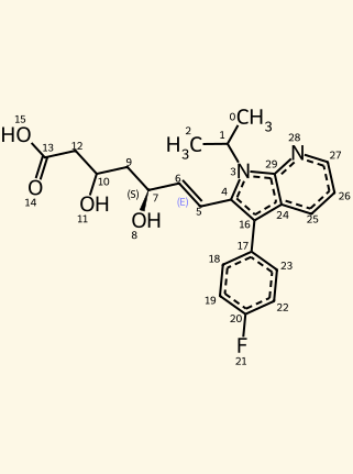 CC(C)n1c(/C=C/[C@@H](O)CC(O)CC(=O)O)c(-c2ccc(F)cc2)c2cccnc21